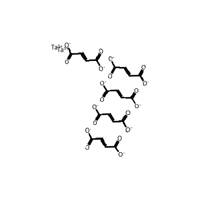 O=C([O-])/C=C/C(=O)[O-].O=C([O-])/C=C/C(=O)[O-].O=C([O-])/C=C/C(=O)[O-].O=C([O-])/C=C/C(=O)[O-].O=C([O-])/C=C/C(=O)[O-].[Ta+5].[Ta+5]